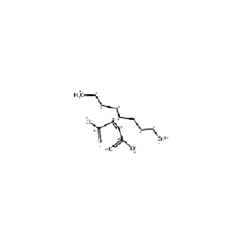 CCCCCCC[CH2][Zn+2].O=C([O-])/C=C\C(=O)[O-]